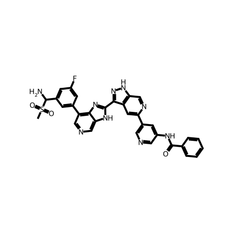 CS(=O)(=O)C(N)c1cc(F)cc(-c2cncc3[nH]c(-c4n[nH]c5cnc(-c6cncc(NC(=O)c7ccccc7)c6)cc45)nc23)c1